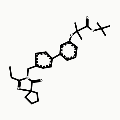 CCC1=NC2(CCCC2)C(=O)N1Cc1ccc(-c2cccc(OC(C)(C)C(=O)OC(C)(C)C)c2)cc1